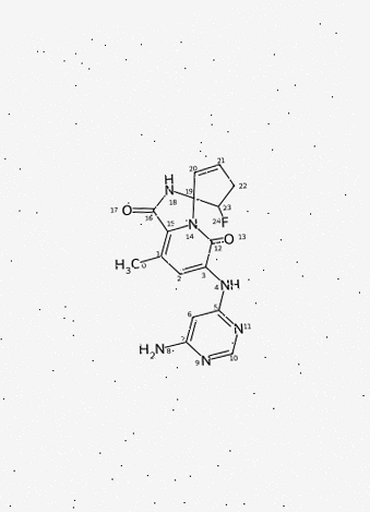 Cc1cc(Nc2cc(N)ncn2)c(=O)n2c1C(=O)NC21C=CCC1F